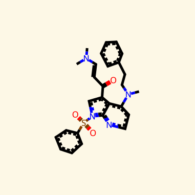 CN(C)C=CC(=O)c1cn(S(=O)(=O)c2ccccc2)c2nccc(N(C)CCc3ccccc3)c12